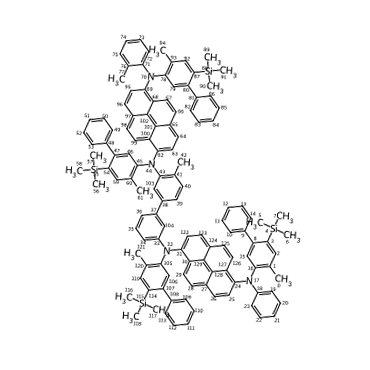 Cc1cc([Si](C)(C)C)c(-c2ccccc2)cc1N(c1ccccc1)c1ccc2ccc3c(N(c4cccc(-c5ccc(C)c(N(c6cc(-c7ccccc7)c([Si](C)(C)C)cc6C)c6ccc7ccc8c(N(c9ccccc9C)c9cc(-c%10ccccc%10)c([Si](C)(C)C)cc9C)ccc9ccc6c7c98)c5)c4)c4cc(-c5ccccc5)c([Si](C)(C)C)cc4C)ccc4ccc1c2c43